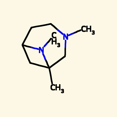 CN1CCC2CC(C)(C1)N2C